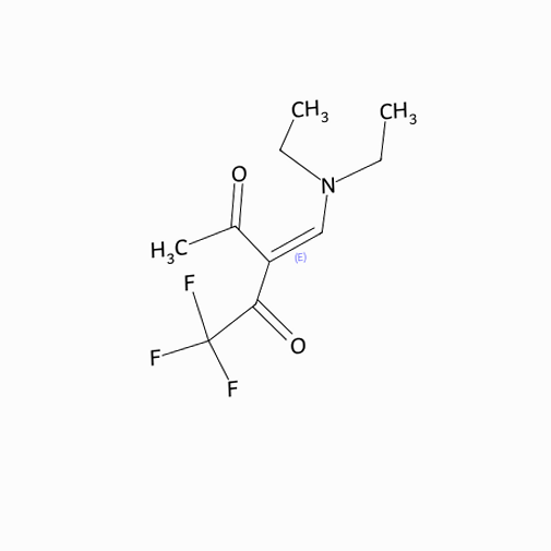 CCN(/C=C(\C(C)=O)C(=O)C(F)(F)F)CC